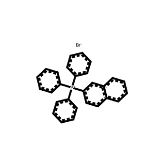 [Br-].c1ccc([P+](c2ccccc2)(c2ccccc2)c2ccc3ccccc3c2)cc1